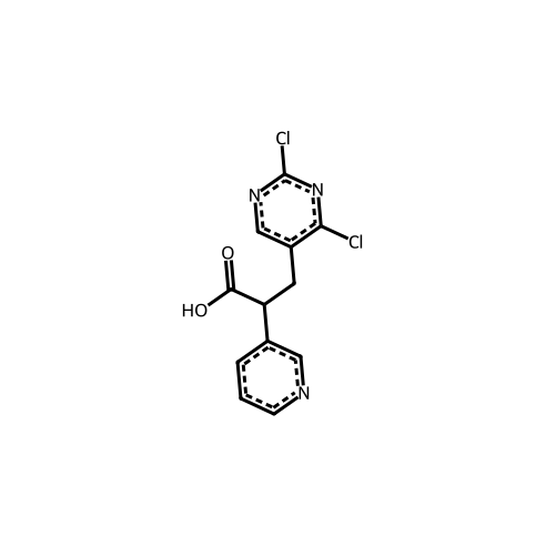 O=C(O)C(Cc1cnc(Cl)nc1Cl)c1cccnc1